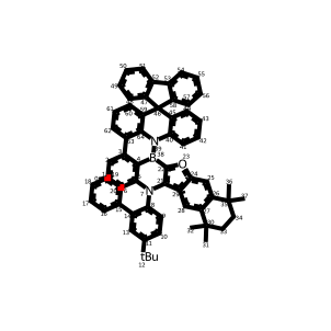 Cc1cc2c3c(c1)N(c1ccc(C(C)(C)C)cc1-c1ccccc1)c1c(oc4cc5c(cc14)C(C)(C)CCC5(C)C)B3N1c3ccccc3C3(c4ccccc4-c4ccccc43)c3cccc-2c31